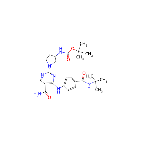 CC(C)(C)NC(=O)c1ccc(Nc2nc(N3CCC(NC(=O)OC(C)(C)C)C3)ncc2C(N)=O)cc1